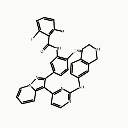 COc1ccc(-c2nn3ccccc3c2-c2ccnc(Nc3ccc4c(c3)CNCC4)n2)cc1NC(=O)c1c(F)cccc1F